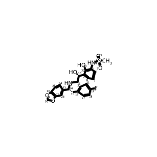 CS(=O)(=O)Nc1cccc([C@@H](O)CN[C@H](Cc2ccc(F)cc2)c2ccc3c(c2)OCO3)c1O